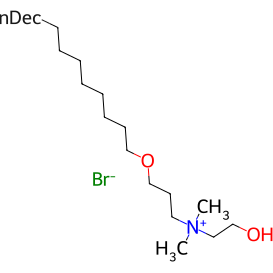 CCCCCCCCCCCCCCCCCCOCCC[N+](C)(C)CCO.[Br-]